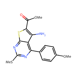 COC(=O)c1sc2nc(SC)nc(-c3ccc(OC)cc3)c2c1N